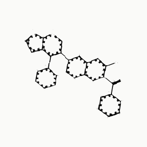 Nc1cc2cc(-c3cnc4sccc4c3-c3ccccc3)ccc2cc1C(=O)c1ccccc1